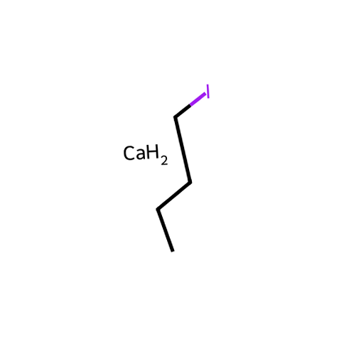 CCCCI.[CaH2]